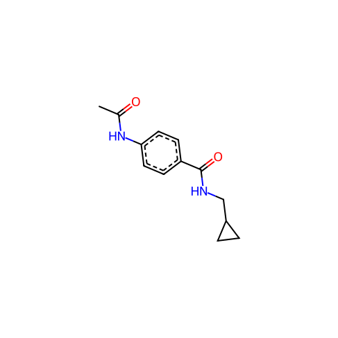 CC(=O)Nc1ccc(C(=O)NCC2CC2)cc1